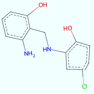 Nc1cccc(O)c1CNc1cc(Cl)ccc1O